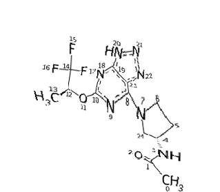 CC(=O)N[C@H]1CCN(c2nc(O[C@@H](C)C(F)(F)F)nc3[nH]nnc23)C1